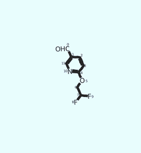 O=Cc1ccc(OCC(F)F)nc1